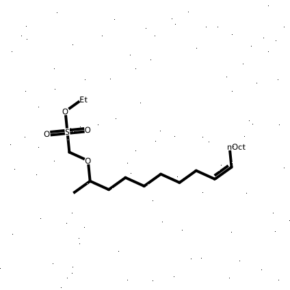 CCCCCCCC/C=C\CCCCCCC(C)OCS(=O)(=O)OCC